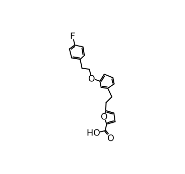 O=C(O)c1ccc(CCc2cccc(OCCc3ccc(F)cc3)c2)o1